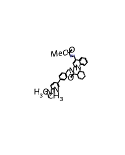 COC(=O)/C=C/c1cc(N(Cc2ccc(-c3ccc(N(C)C)nc3)cc2)C(=O)C2CCCCC2)nc2ccccc12